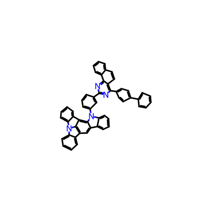 c1ccc(-c2ccc(-c3nc(-c4cccc(-n5c6ccccc6c6cc7c8ccccc8n8c9ccccc9c(c65)c78)c4)nc4c3ccc3ccccc34)cc2)cc1